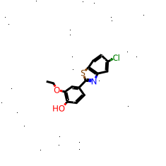 CCOc1cc(-c2nc3cc(Cl)ccc3s2)ccc1O